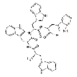 N[C@H](Cc1c[nH]c2ccccc12)C(=O)N[C@H](Cc1c[nH]c2ccccc12)C(=O)N[C@@H](Cc1c[nH]c2ccccc12)C(=O)N[C@@H](Cc1c[nH]c2ccccc12)C(=O)O